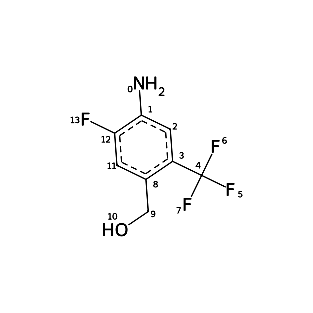 Nc1cc(C(F)(F)F)c(CO)cc1F